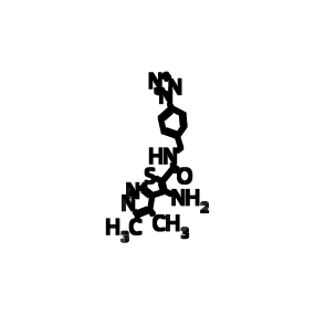 Cc1nnc2sc(C(=O)NCc3ccc(-n4cncn4)cc3)c(N)c2c1C